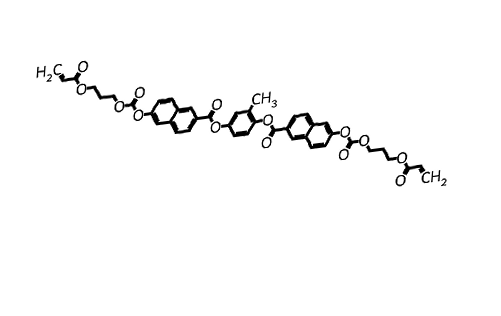 C=CC(=O)OCCCOC(=O)Oc1ccc2cc(C(=O)Oc3ccc(OC(=O)c4ccc5cc(OC(=O)OCCCOC(=O)C=C)ccc5c4)c(C)c3)ccc2c1